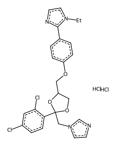 CCn1ccnc1-c1ccc(OCC2COC(Cn3ccnc3)(c3ccc(Cl)cc3Cl)O2)cc1.Cl.Cl